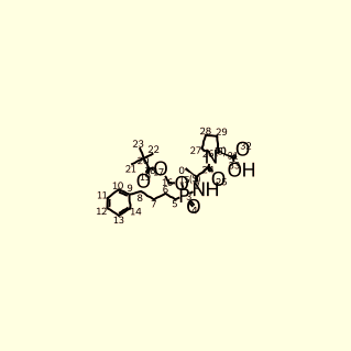 C[C@H](NP(=O)(CCCCc1ccccc1)OCOC(=O)C(C)(C)C)C(=O)N1CCC[C@H]1C(=O)O